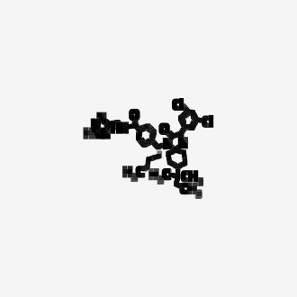 CCCC[C@H](c1ccc(C(=O)NCc2nn[nH]n2)cc1)N1C(=O)C(c2cc(Cl)cc(Cl)c2)=NC12CCC(C(C)(C)CC)CC2